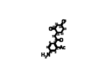 CC(=O)c1cc(N)ccc1C(=O)CC1CCC(=O)CC1=O